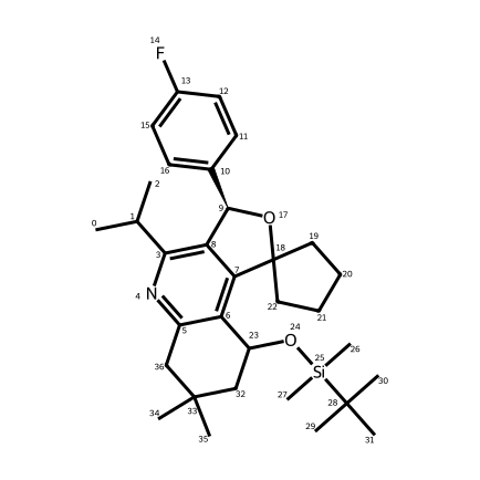 CC(C)c1nc2c(c3c1[C@@H](c1ccc(F)cc1)OC31CCCC1)C(O[Si](C)(C)C(C)(C)C)CC(C)(C)C2